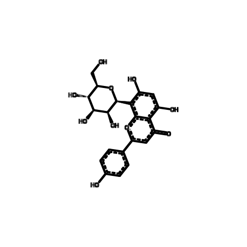 O=c1cc(-c2ccc(O)cc2)oc2c([C@@H]3O[C@H](CO)[C@@H](O)[C@H](O)[C@@H]3O)c(O)cc(O)c12